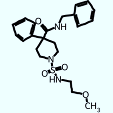 COCCNS(=O)(=O)N1CCC(C(=O)NCc2ccccc2)(c2ccccc2)CC1